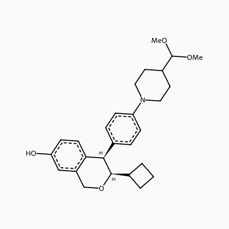 COC(OC)C1CCN(c2ccc([C@@H]3c4ccc(O)cc4CO[C@@H]3C3CCC3)cc2)CC1